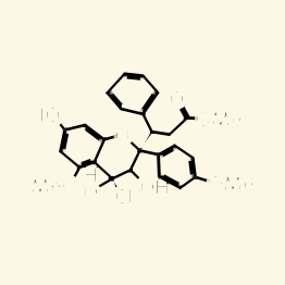 COC(=O)CC(c1ccccc1)[C@]1(c2ccc(OC)cc2)Oc2cc(O)cc(OC)c2[C@@](C)(O)C1O